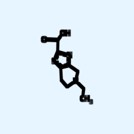 CCN1CCc2sc(C(=O)O)nc2C1